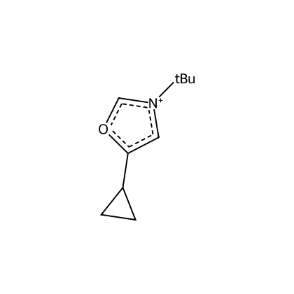 CC(C)(C)[n+]1coc(C2CC2)c1